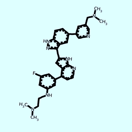 CN(C)CCNc1cc(F)cc(-c2ccnc3[nH]c(-c4n[nH]c5ccc(-c6cncc(CN(C)C)c6)cc45)cc23)c1